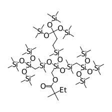 CCC(C)(C)C(=O)OC[Si](O[Si](C)(C)CCC(O[Si](C)(C)C)(O[Si](C)(C)C)O[Si](C)(C)C)(O[Si](C)(C)C[Si](O[Si](C)(C)C)(O[Si](C)(C)C)O[Si](C)(C)C)O[Si](C)(C)C[Si](O[Si](C)(C)C)(O[Si](C)(C)C)O[Si](C)(C)C